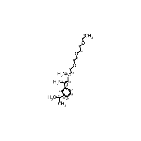 CCOCCOCCOCCN(N)/C=C(\N)c1cccc(C(C)C)c1